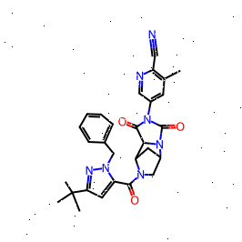 Cc1cc(N2C(=O)C3C4CC(CN4C(=O)c4cc(C(C)(C)C)nn4Cc4ccccc4)N3C2=O)cnc1C#N